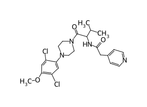 COc1cc(Cl)c(N2CCN(C(=O)C(NC(=O)Cc3ccncc3)C(C)C)CC2)cc1Cl